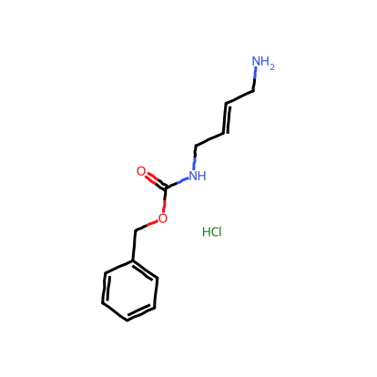 Cl.NC/C=C/CNC(=O)OCc1ccccc1